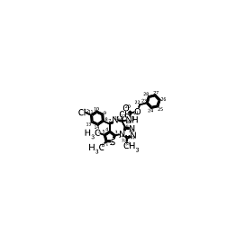 Cc1sc2c(c1C)C(c1ccc(Cl)cc1)=NC(C)(NC(=O)OCc1ccccc1)c1nnc(C)n1-2